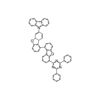 C1=CC2c3c(cccc3-c3cccc4oc5c(-c6nc(-c7ccccc7)nc(-c7ccccc7)n6)cccc5c34)OC2C=C1n1c2ccccc2c2ccccc21